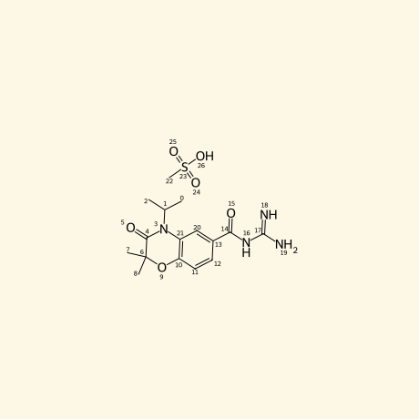 CC(C)N1C(=O)C(C)(C)Oc2ccc(C(=O)NC(=N)N)cc21.CS(=O)(=O)O